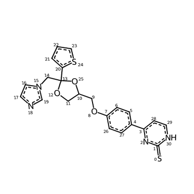 S=c1nc(-c2ccc(OCC3COC(Cn4ccnc4)(c4cccs4)O3)cc2)cc[nH]1